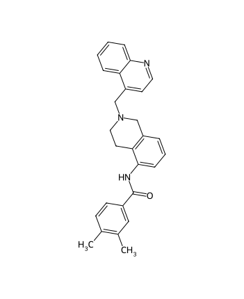 Cc1ccc(C(=O)Nc2cccc3c2CCN(Cc2ccnc4ccccc24)C3)cc1C